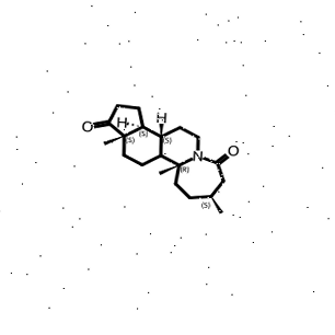 C[C@H]1CC[C@]2(C)C3CC[C@]4(C)C(=O)CC[C@H]4[C@@H]3CCN2C(=O)C1